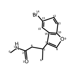 CNC(=O)CC(C)c1coc2ccc(Br)cc12